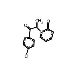 C=C(C(=O)c1ccc(Cl)cc1)n1ccccc1=O